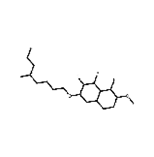 CCCC(C)CCCCOC1CC2CCC(OC)C(F)C2C(F)C1F